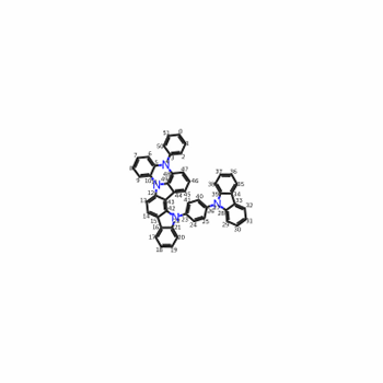 c1ccc(N2c3ccccc3-n3c4ccc5c6ccccc6n(-c6ccc(-n7c8ccccc8c8ccccc87)cc6)c5c4c4cccc2c43)cc1